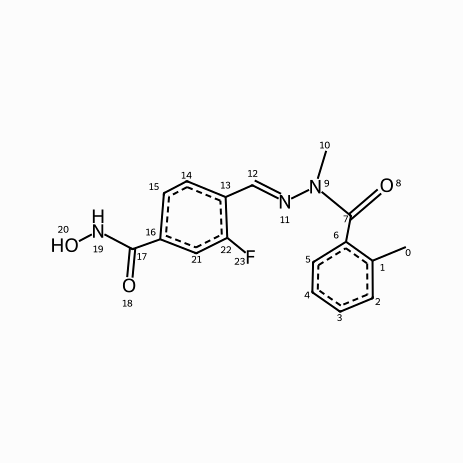 Cc1ccccc1C(=O)N(C)N=Cc1ccc(C(=O)NO)cc1F